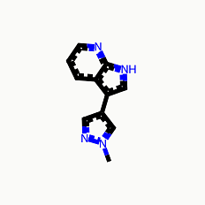 Cn1cc(-c2c[nH]c3ncccc23)cn1